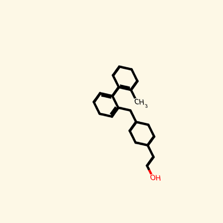 CC1=C(C2=CCCC=C2CC2CCC(CCO)CC2)CCCC1